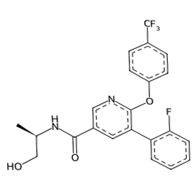 C[C@H](CO)NC(=O)c1cnc(Oc2ccc(C(F)(F)F)cc2)c(-c2ccccc2F)c1